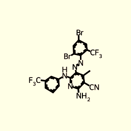 Cc1c(C#N)c(N)nc(Nc2cccc(C(F)(F)F)c2)c1/N=N/c1c(Br)cc(Br)cc1C(F)(F)F